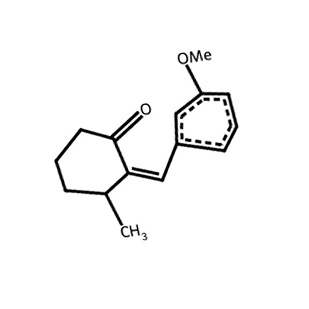 COc1cccc(C=C2C(=O)CCCC2C)c1